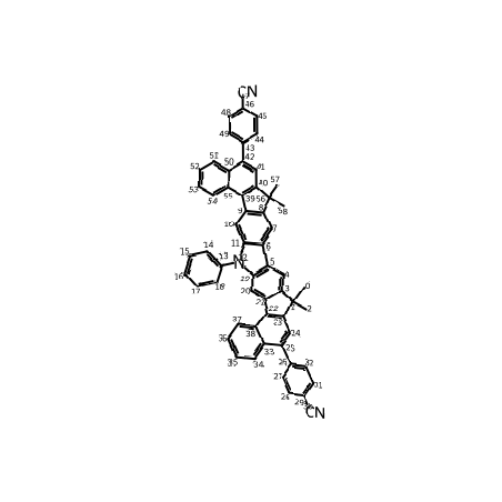 CC1(C)c2cc3c4cc5c(cc4n(-c4ccccc4)c3cc2-c2c1cc(-c1ccc(C#N)cc1)c1ccccc21)-c1c(cc(-c2ccc(C#N)cc2)c2ccccc12)C5(C)C